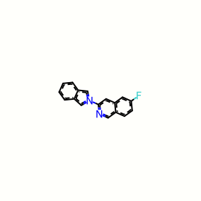 Fc1ccc2cnc(-n3cc4ccccc4c3)cc2c1